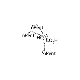 CCCCC/C=C\C/C=C\CCCCCCCCC(C(CCC(=O)O)N(C)C)C(O)(CCCCCCCC/C=C\C/C=C\CCCCC)CCCCCCCC/C=C\C/C=C\CCCCC